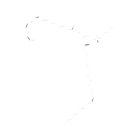 CC/C=C\C/C=C\C/C=C\CCCCCCCC(=O)OC[C@H](COP(=O)(O)OCC[N+](C)(C)C)OC(=O)CCCCCCCCCCC/C=C\CCCCCCCC